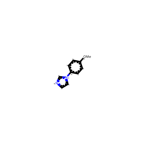 [CH2]Oc1ccc(-n2ccnc2)cc1